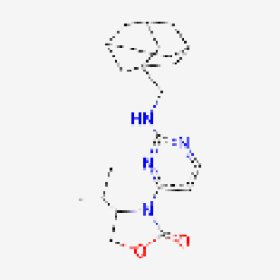 CC(C)C1COC(=O)N1c1ccnc(NCC23CC4CC(CC(C4)C2)C3)n1